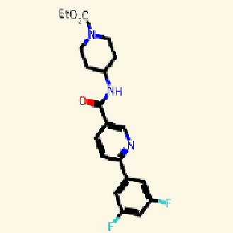 CCOC(=O)N1CCC(NC(=O)c2ccc(-c3cc(F)cc(F)c3)nc2)CC1